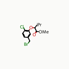 COC(=O)C(Oc1cc(CBr)ccc1Cl)C(C)C